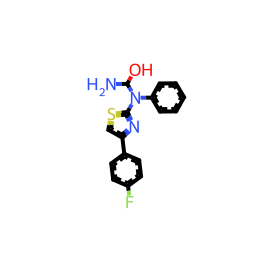 NC(O)N(c1ccccc1)c1nc(-c2ccc(F)cc2)cs1